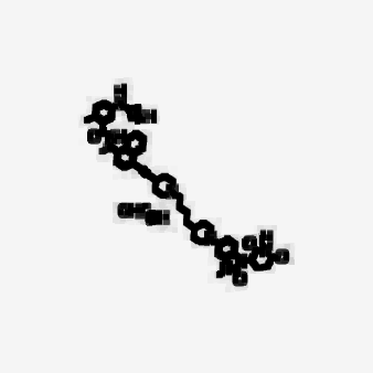 Cc1ccc(NC2CNC2)cc1C(=O)N[C@H](C)c1ccc(C#CC2CCN(CCCCC3CCN(c4ccc5c(c4)n(C)c(=O)n5C4CCC(=O)NC4=O)CC3)CC2)c2ccccc12.O=CO